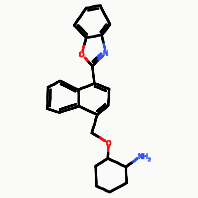 NC1CCCCC1OCc1ccc(-c2nc3ccccc3o2)c2ccccc12